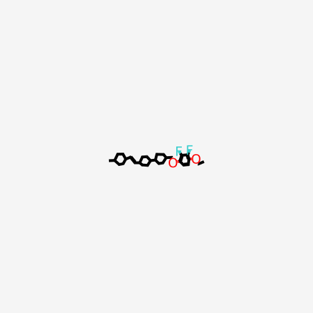 CCOc1ccc(OCC2CCC(C3CCC(/C=C/C4CCC(C)CC4)CC3)CC2)c(F)c1F